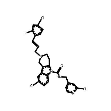 O=C(NCc1ccnc(Cl)c1)n1c2c(c3cc(Cl)ccc31)CN(C/C=C/c1ccc(Cl)cc1F)CC2